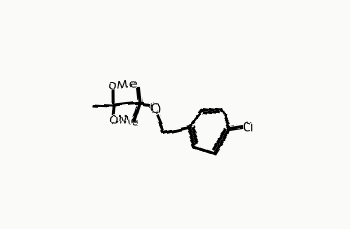 COC(C)(OC)C(C)(C)OCc1ccc(Cl)cc1